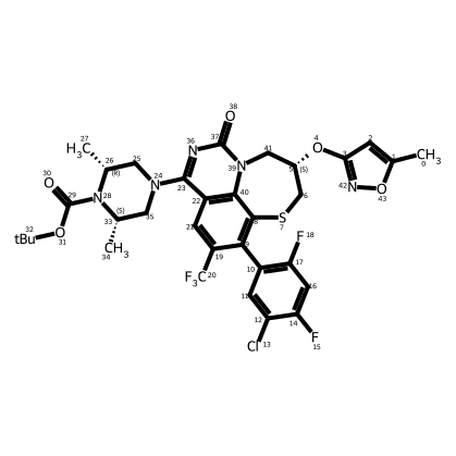 Cc1cc(O[C@@H]2CSc3c(-c4cc(Cl)c(F)cc4F)c(C(F)(F)F)cc4c(N5C[C@@H](C)N(C(=O)OC(C)(C)C)[C@@H](C)C5)nc(=O)n(c34)C2)no1